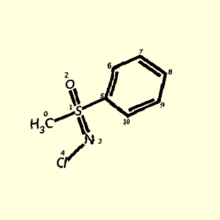 CS(=O)(=NCl)c1ccccc1